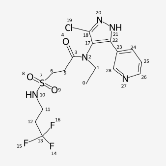 CCN(C(=O)CCS(=O)(=O)NCCC(F)(F)F)c1c(Cl)n[nH]c1-c1cccnc1